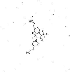 O=C(C(N1CCC(CCO)CC1)C(F)(F)F)C(N1CCC(CCO)CC1)C(F)(F)F